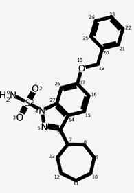 NS(=O)(=O)n1nc(C2CCCCCC2)c2ccc(OCc3ccccc3)cc21